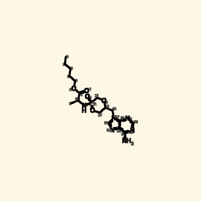 CCCCCOC(=O)[C@H](C)NP1(=O)CO[C@@H](Cn2cnc3c(N)ncnc32)CO1